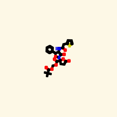 CC(C)(C)C(=O)OCOC(=O)C1(N2OC(c3ccccc3)C(NC(=O)Cc3cccs3)C2=O)CCC(=O)O1